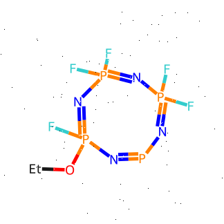 CCOP1(F)=NP(F)(F)=NP(F)(F)=NP=N1